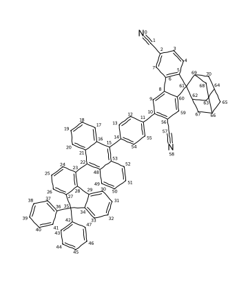 N#Cc1ccc2c(c1)-c1cc(-c3ccc(-c4c5ccccc5c(-c5cccc6c5-c5ccccc5C6(c5ccccc5)c5ccccc5)c5ccccc45)cc3)c(C#N)cc1C21C2CC3CC(C2)CC1C3